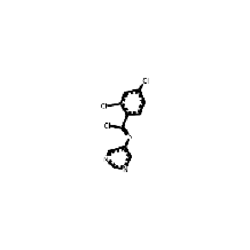 Cl/C(=N\c1cncnc1)c1ccc(Cl)cc1Cl